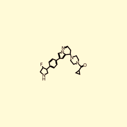 O=C(C1CC1)N1CCN(C2CC=Nn3cc(-c4ccc(C5CNCC5F)cc4)cc32)CC1